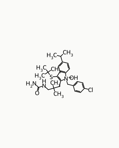 CC(C)c1ccc2c(c1)C(SC(C)(C)C)=C(CC(C)(C)CNC(N)=O)[N+]2(O)Cc1ccc(Cl)cc1